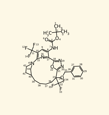 CC(C)(C)OC(=O)Nc1cc(C(F)(F)F)c2nc1-c1nnc(o1)C(OCc1ccccc1)(C(F)(F)F)CCCCC1CCN2C1